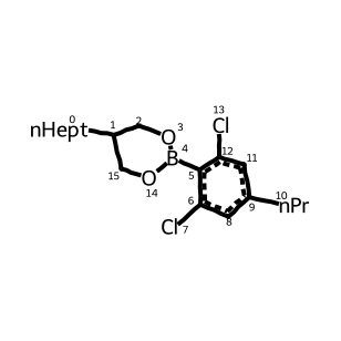 CCCCCCCC1COB(c2c(Cl)cc(CCC)cc2Cl)OC1